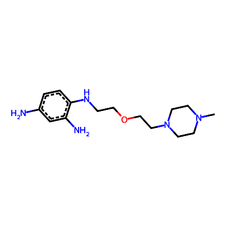 CN1CCN(CCOCCNc2ccc(N)cc2N)CC1